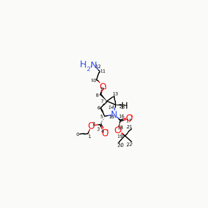 CCOC(=O)[C@@H]1C[C@]2(COCCN)C[C@@H]2N1C(=O)OC(C)(C)C